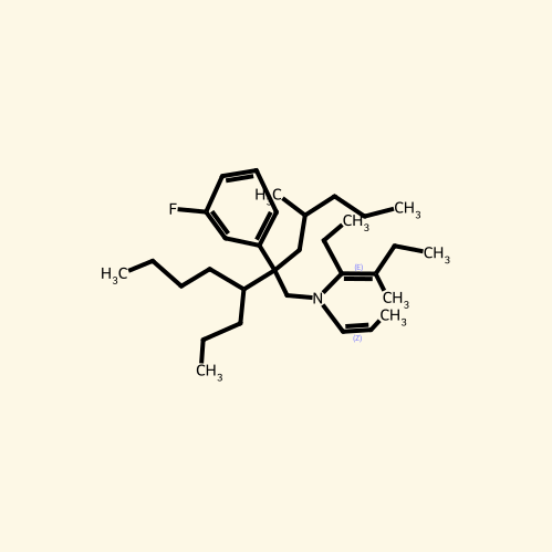 C/C=C\N(CC(CC(C)CCC)(c1cccc(F)c1)C(CCC)CCCC)/C(CC)=C(\C)CC